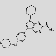 CCCCNc1ncc2c(-c3ccc(NC4CCNCC4)cc3)cn(C3CCCCC3)c2n1